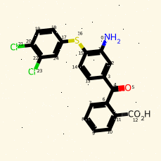 Nc1cc(C(=O)c2ccccc2C(=O)O)ccc1Sc1ccc(Cl)c(Cl)c1